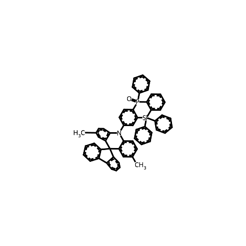 Cc1ccc2c(c1)C1(c3ccccc3-c3ccccc31)c1cc(C)ccc1N2c1ccc2c(c1)[Si](c1ccccc1)(c1ccccc1)c1ccccc1P2(=O)c1ccccc1